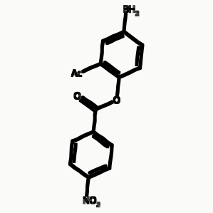 Bc1ccc(OC(=O)c2ccc([N+](=O)[O-])cc2)c(C(C)=O)c1